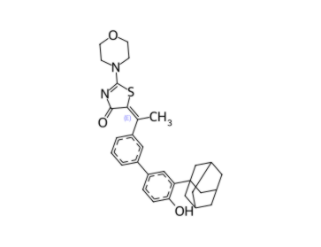 C/C(=C1\SC(N2CCOCC2)=NC1=O)c1cccc(-c2ccc(O)c(C34CC5CC(CC(C5)C3)C4)c2)c1